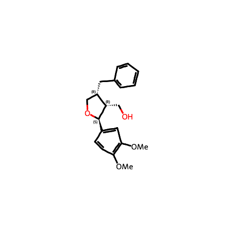 COc1ccc([C@H]2OC[C@H](Cc3ccccc3)[C@@H]2CO)cc1OC